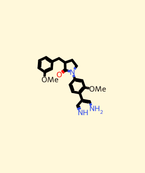 COc1cccc(CC2CCN(c3ccc(/C(C=N)=C/N)c(OC)c3)C2=O)c1